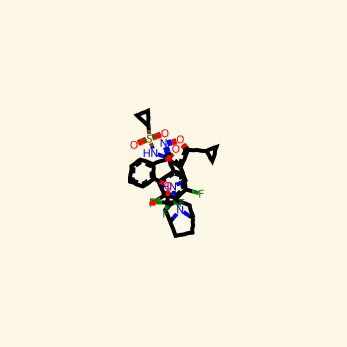 O=C(NS(=O)(=O)C1CC1)c1cc(F)c(N2C3CCC2CC(NCc2c(-c4ccccc4OC(F)(F)F)noc2C2CC2)C3)c(F)c1